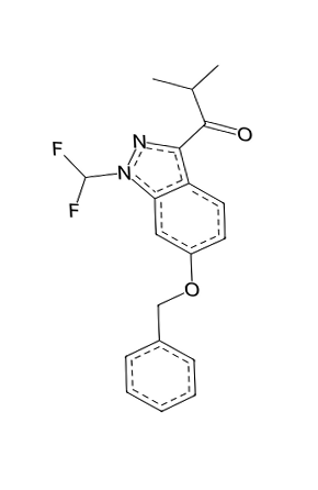 CC(C)C(=O)c1nn(C(F)F)c2cc(OCc3ccccc3)ccc12